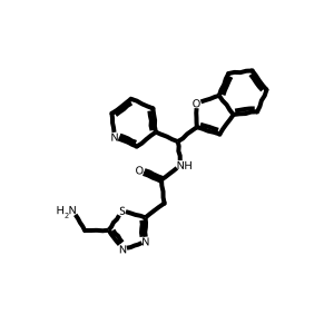 NCc1nnc(CC(=O)NC(c2cccnc2)c2cc3ccccc3o2)s1